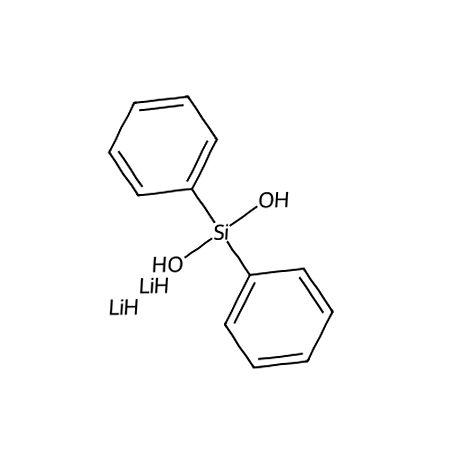 O[Si](O)(c1ccccc1)c1ccccc1.[LiH].[LiH]